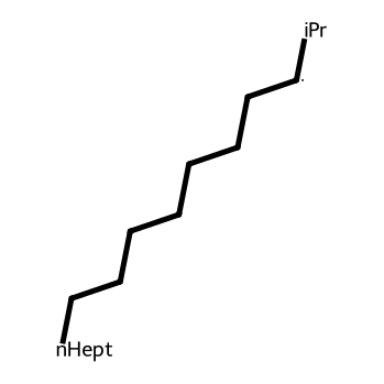 CCCCCCCCCCCCCC[CH]C(C)C